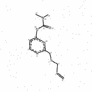 C=CCSCc1nccc(OC(=O)N(C)C)n1